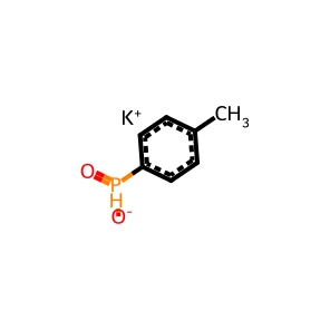 Cc1ccc([PH](=O)[O-])cc1.[K+]